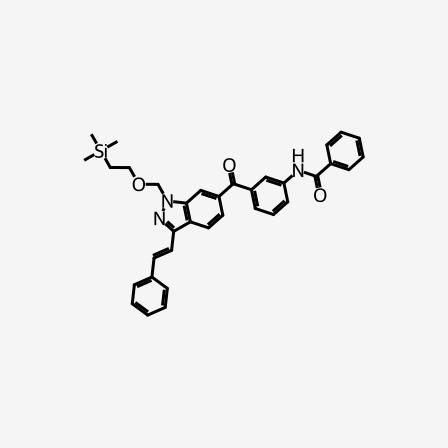 C[Si](C)(C)CCOCn1nc(C=Cc2ccccc2)c2ccc(C(=O)c3cccc(NC(=O)c4ccccc4)c3)cc21